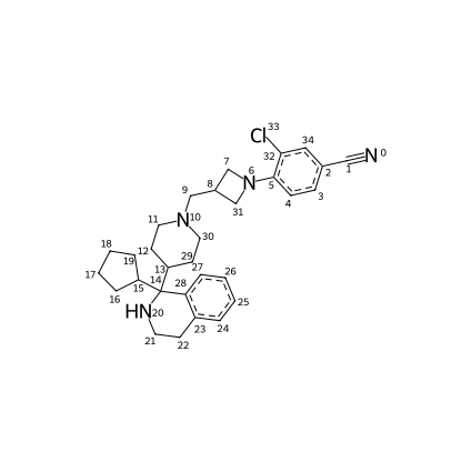 N#Cc1ccc(N2CC(CN3CCC(C4(C5CCCC5)NCCc5ccccc54)CC3)C2)c(Cl)c1